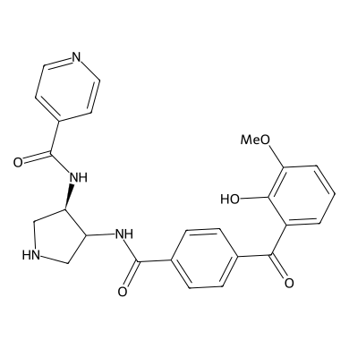 COc1cccc(C(=O)c2ccc(C(=O)NC3CNC[C@H]3NC(=O)c3ccncc3)cc2)c1O